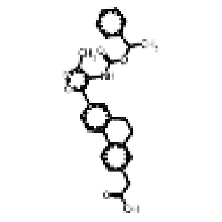 Cc1noc(-c2ccc3c(c2)CCc2cc(CC(=O)O)ccc2-3)c1NC(=O)OC(C)c1ccccc1